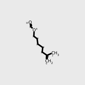 C=C(C)CCCCCOC=O